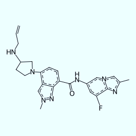 C=CCNC1CCN(c2ccc(C(=O)Nc3cc(F)c4nc(C)cn4c3)c3nn(C)cc23)C1